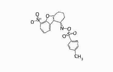 Cc1ccc(S(=O)(=O)ON=C2CCCc3oc4c([N+](=O)[O-])cccc4c32)cc1